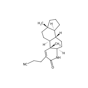 C[C@@]12CCC[C@H]1[C@@H]1CC[C@H]3NC(=O)C(CCC#N)=C[C@]3(C)[C@H]1CC2